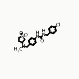 CN(Cc1ccc(NC(=O)NCc2ccc(Cl)cc2)cc1)[C@H]1CCS(=O)(=O)C1